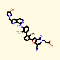 Cc1c(Nc2nccc3cc(CN4CC[C@@H](O)C4)cnc23)cccc1-c1cccc(-c2cc3c(=N)n(CCC(=O)O)cc(C#N)c3o2)c1C